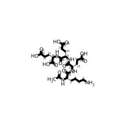 CC(=O)N[C@@H](CCCCN)C(=O)N[C@@H](CCC(=O)O)C(=O)N[C@@H](CCC(=O)O)C(=O)N[C@@H](CCC(=O)O)C(=O)O